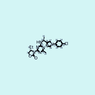 CC[C@H]1COC(=O)N1c1nc(C)nc(N[C@@H](C)c2cn(-c3ccc(Cl)cc3)cn2)n1